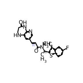 Cc1c([C@@H](C)N(C)C(=O)/C=C/c2cnc3c(c2)NCCC(=O)N3)sc2ccc(F)cc12